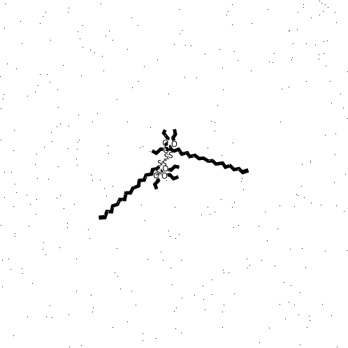 C=CCCCCCCCCCCCCCCCC(SSSSC(CCCCCCCCCCCCCCCC=C)[Si](OCCC)(OCCC)OCCC)[Si](OCCC)(OCCC)OCCC